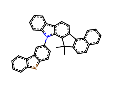 CC1(C)c2ccc3ccccc3c2-c2ccc3c4ccccc4n(-c4ccc5sc6ccccc6c5c4)c3c21